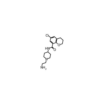 NCCN1CCC(NC(=O)c2cc(Cl)cc3c2OCCC3)CC1